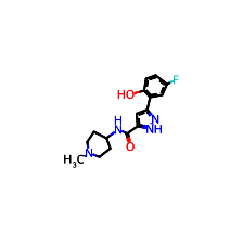 CN1CCC(NC(=O)c2cc(-c3cc(F)ccc3O)n[nH]2)CC1